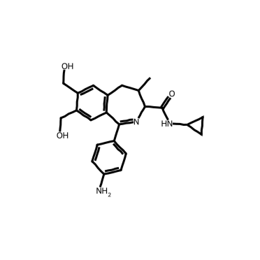 CC1Cc2cc(CO)c(CO)cc2C(c2ccc(N)cc2)=NC1C(=O)NC1CC1